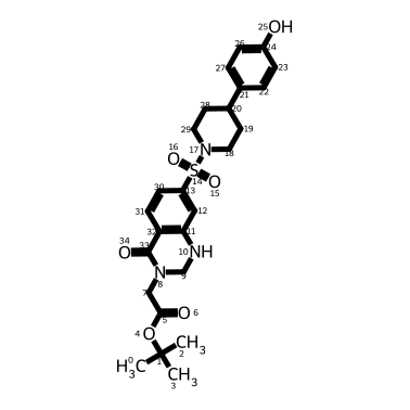 CC(C)(C)OC(=O)CN1CNc2cc(S(=O)(=O)N3CCC(c4ccc(O)cc4)CC3)ccc2C1=O